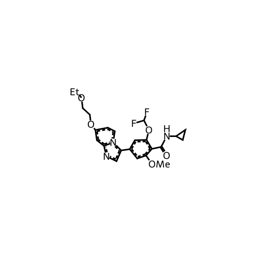 CCOCCOc1ccn2c(-c3cc(OC)c(C(=O)NC4CC4)c(OC(F)F)c3)cnc2c1